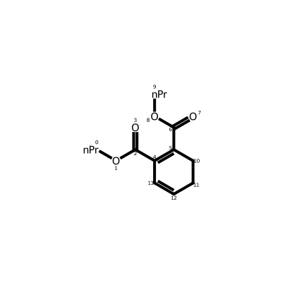 CCCOC(=O)C1=C(C(=O)OCCC)CCC=C1